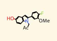 COc1cc(-c2cc3cc(O)ccc3n2CC(C)=O)ccc1F